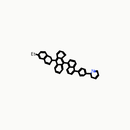 CCc1ccc2c(c1)C=CC(c1c3ccccc3c(-c3cccc4c(-c5ccc(C6CC=CC=N6)cc5)cccc34)c3ccccc13)C2